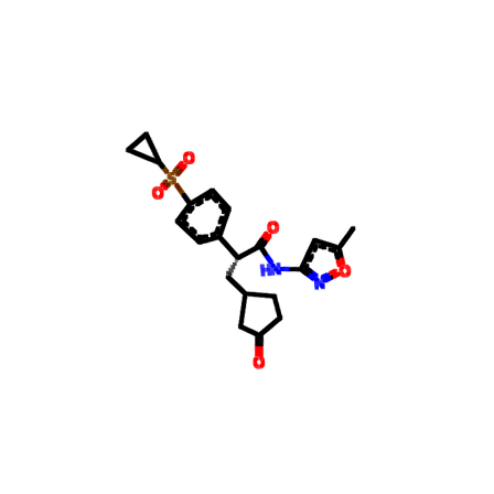 Cc1cc(NC(=O)[C@H](CC2CCC(=O)C2)c2ccc(S(=O)(=O)C3CC3)cc2)no1